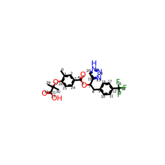 Cc1cc(C(=O)OC(Cc2ccc(C(F)(F)F)cc2)c2c[nH]nn2)ccc1OC(C)(C)C(=O)O